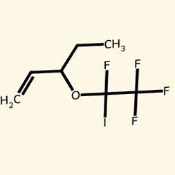 C=CC(CC)OC(F)(I)C(F)(F)F